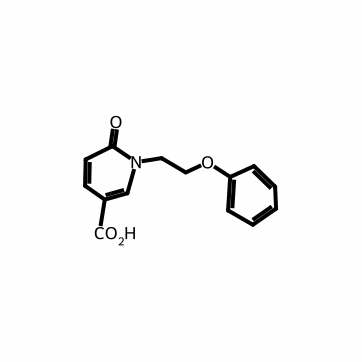 O=C(O)c1ccc(=O)n(CCOc2ccccc2)c1